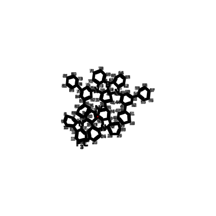 [C-]#[N+]c1ccc(-n2c3ccccc3c3ccccc32)c(-c2cc(C(F)(F)F)ccc2-n2c3ccccc3c3cc(-c4cc5c6c(c4)N(c4cc(-c7ccccc7)cc(-c7ccccc7)c4)c4ccccc4B6c4ccccc4N5c4cc(-c5ccccc5)cc(-c5ccccc5)c4)ccc32)c1